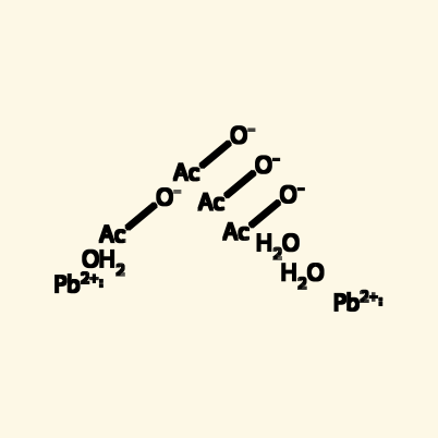 CC(=O)[O-].CC(=O)[O-].CC(=O)[O-].CC(=O)[O-].O.O.O.[Pb+2].[Pb+2]